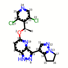 C[C@@H](Oc1ccc2[nH]nc(-c3cnn4c3CCC4)c2n1)c1c(Cl)cncc1Cl